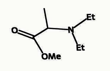 [CH2]OC(=O)C(C)N(CC)CC